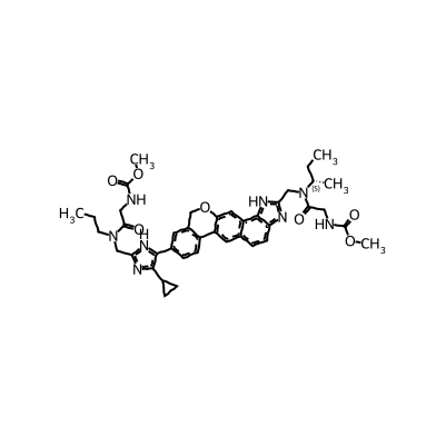 CCCN(Cc1nc(C2CC2)c(-c2ccc3c(c2)COc2cc4c(ccc5nc(CN(C(=O)CNC(=O)OC)[C@@H](C)CC)[nH]c54)cc2-3)[nH]1)C(=O)CNC(=O)OC